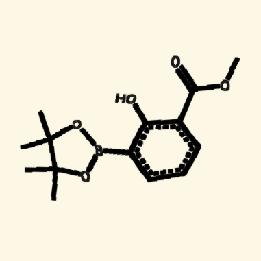 COC(=O)c1cccc(B2OC(C)(C)C(C)(C)O2)c1O